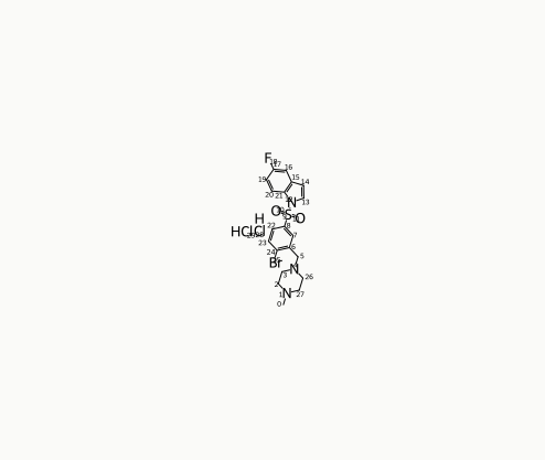 CN1CCN(Cc2cc(S(=O)(=O)n3ccc4cc(F)ccc43)ccc2Br)CC1.Cl.Cl